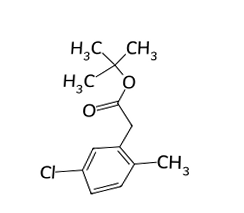 Cc1ccc(Cl)cc1CC(=O)OC(C)(C)C